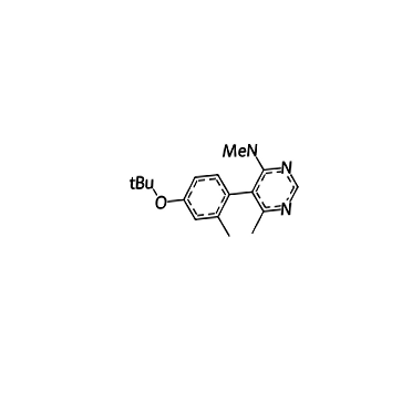 CNc1ncnc(C)c1-c1ccc(OC(C)(C)C)cc1C